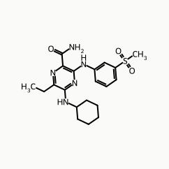 CCc1nc(C(N)=O)c(Nc2cccc(S(C)(=O)=O)c2)nc1NC1CCCCC1